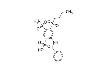 CCCCS(=O)(=O)c1cc(NCc2ccccc2)c(S(=O)(=O)O)cc1S(N)(=O)=O